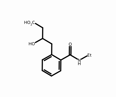 CCNC(=O)c1ccccc1CC(O)CC(=O)O